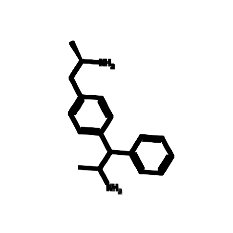 CC(N)C(c1ccccc1)c1ccc(C[C@@H](C)N)cc1